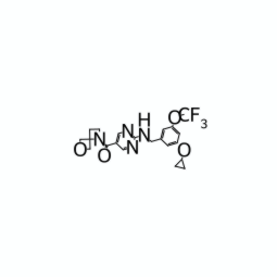 O=C(c1cnc(NCc2cc(OC3CC3)cc(OC(F)(F)F)c2)nc1)N1CCC12COC2